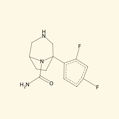 NC(=O)N1C2CCC1(c1ccc(F)cc1F)CNC2